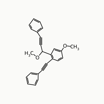 COc1ccc(C#Cc2ccccc2)c(C(C#Cc2ccccc2)OC)c1